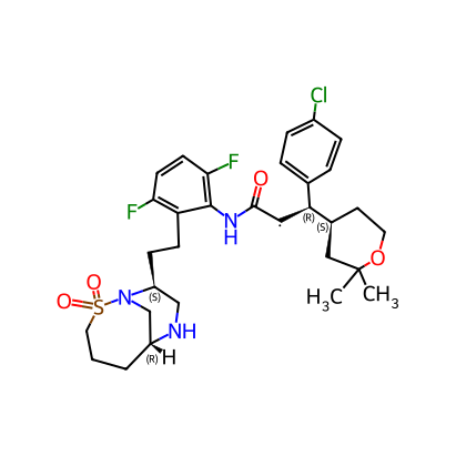 CC1(C)C[C@@H]([C@@H]([CH]C(=O)Nc2c(F)ccc(F)c2CC[C@H]2CN[C@@H]3CCCS(=O)(=O)N2C3)c2ccc(Cl)cc2)CCO1